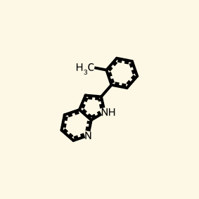 Cc1ccccc1-c1cc2cccnc2[nH]1